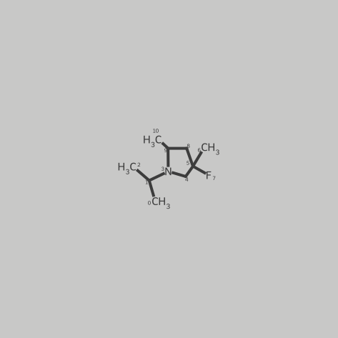 CC(C)N1CC(C)(F)CC1C